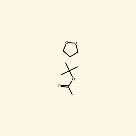 C1COOC1.CC(=O)OC(C)(C)C